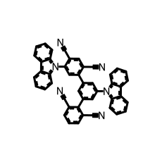 N#Cc1cc(C#N)c(-n2c3ccccc3c3ccccc32)cc1-c1cc(-c2c(C#N)cccc2C#N)cc(-n2c3ccccc3c3ccccc32)c1